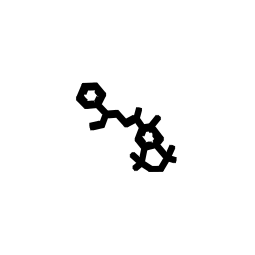 C=C/C(=C\C=C(/C)c1cc2c(cc1C)C(C)(C)CCC2(C)C)c1ccccc1